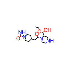 CCOC(O)[C@H]1CNCCN1C(=O)CC1CCN(C(N)=O)CC1